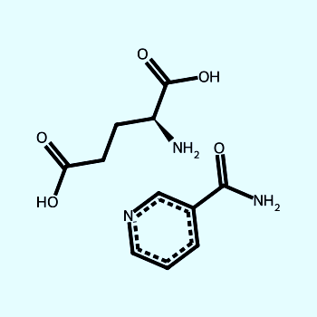 NC(=O)c1cccnc1.N[C@@H](CCC(=O)O)C(=O)O